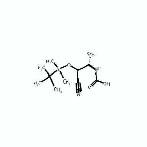 C[C@H](NC(=O)O)[C@@H](C#N)O[Si](C)(C)C(C)(C)C